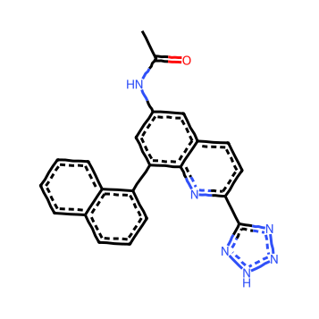 CC(=O)Nc1cc(-c2cccc3ccccc23)c2nc(-c3nn[nH]n3)ccc2c1